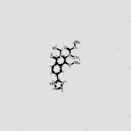 CCCCOc1c(N(C)C(=O)OC(C)(C)C)n(CC(C)C)c(=O)c2ccc(-c3nnn[nH]3)cc12